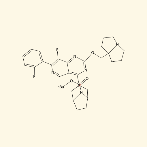 CCCCOC(=O)N1C2CCC1CN(c1nc(OCC34CCCN3CCC4)nc3c(F)c(-c4ccccc4F)ncc13)C2